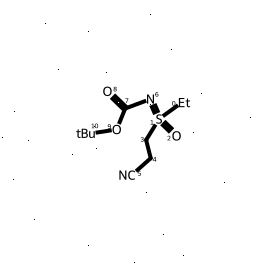 CCS(=O)(CCC#N)=NC(=O)OC(C)(C)C